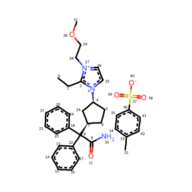 CCc1n([C@H]2CC[C@@H](C(C(N)=O)(c3ccccc3)c3ccccc3)C2)cc[n+]1CCOC.Cc1ccc(S(=O)(=O)[O-])cc1